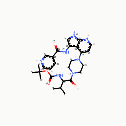 CC(C)C(NC(=O)OC(C)(C)C)C(=O)N1CCN(c2ccnc3[nH]cc(NC(=O)c4cccnc4)c23)CC1